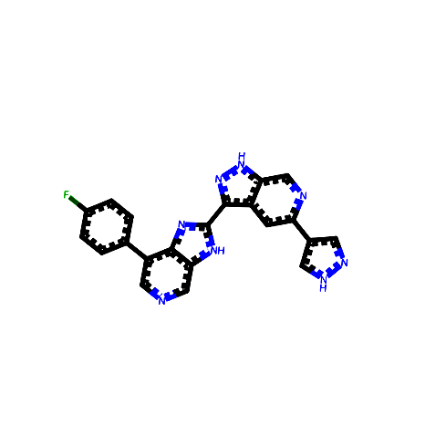 Fc1ccc(-c2cncc3[nH]c(-c4n[nH]c5cnc(-c6cn[nH]c6)cc45)nc23)cc1